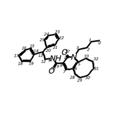 CCCCn1c2c(cc(C(=O)NCC(c3ccccc3)c3ccccc3)c1=O)CCCCCC2